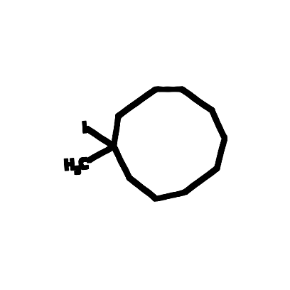 CC1(I)CCCCCCCCC1